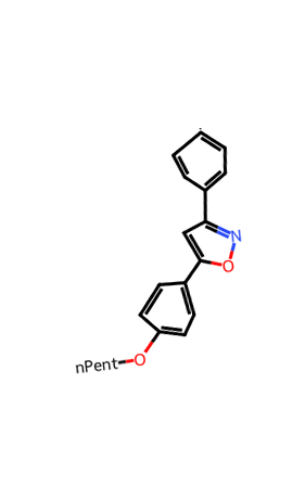 CCCCCOc1ccc(-c2cc(-c3cc[c]cc3)no2)cc1